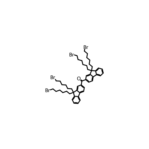 O=C(c1ccc2c(c1)C(CCCCCCBr)(CCCCCCBr)c1ccccc1-2)c1ccc2c(c1)C(CCCCCCBr)(CCCCCCBr)c1ccccc1-2